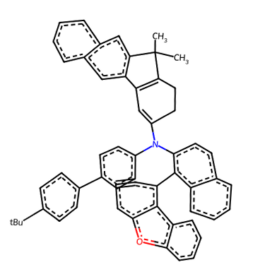 CC(C)(C)c1ccc(-c2ccc(N(C3=CC4=C(CC3)C(C)(C)c3cc5ccccc5cc34)c3ccc4ccccc4c3-c3c#ccc4oc5ccccc5c34)cc2)cc1